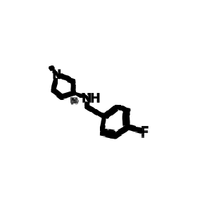 CN1CC[C@H](NCc2ccc(F)cc2)C1